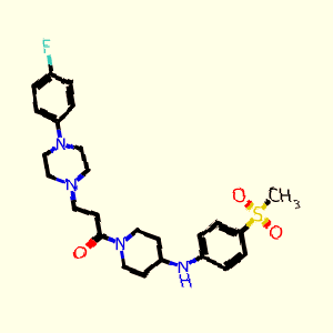 CS(=O)(=O)c1ccc(NC2CCN(C(=O)CCN3CCN(c4ccc(F)cc4)CC3)CC2)cc1